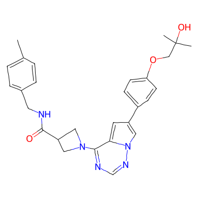 Cc1ccc(CNC(=O)C2CN(c3ncnn4cc(-c5ccc(OCC(C)(C)O)cc5)cc34)C2)cc1